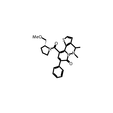 COC[C@H]1CCCN1C(=O)c1cc(-c2ccccc2)c(=O)n2c1-c1sccc1C(C)N2C